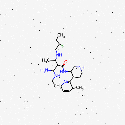 CCNC(N)C(C(=O)NC1CNCCC1C1=NCC=CC1C)C(C)NCC(F)CC